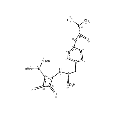 CCCCCCN(CCCCCC)c1c(N[C@@H](Cc2ccc(OC(=O)N(C)C)cc2)C(=O)O)c(=O)c1=O